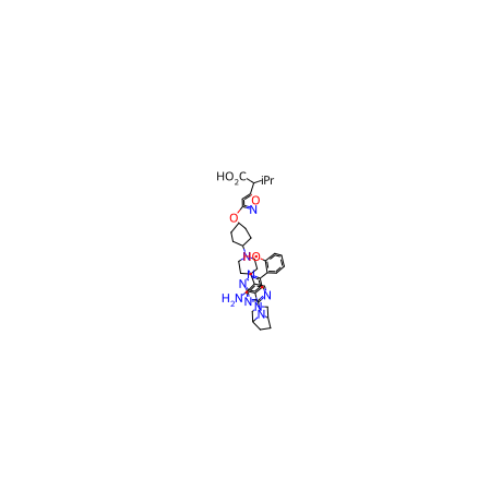 CC(C)C(C(=O)O)c1cc(OC2CCC(N3CCC(c4cnc(N5C6CCC5CN(c5cc(-c7ccccc7O)nnc5N)C6)nc4)CC3)CC2)no1